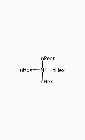 CCCCCC[N+](CCCCC)(CCCCCC)CCCCCC